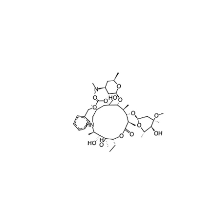 CC[C@H]1OC(=O)[C@H](C)[C@@H](O[C@H]2C[C@@](C)(OC)[C@@H](O)[C@H](C)O2)[C@H](C)[C@@H](O[C@@H]2O[C@H](C)C[C@H](N(C)C)[C@H]2OC(=O)OCc2ccccc2)[C@](C)(O)C[C@@H](C)CN[C@H](C)[C@@H](O)[C@]1(C)O